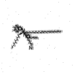 CCCCCCCCCCC#CC(=Nc1ccc(N(C)CC)c(N(C)CC)c1)C(CCCCCCCCCCCCCCCCCCCCCCC)=Nc1ccc(CCCCC)c(CCCCC)c1.[Ni]